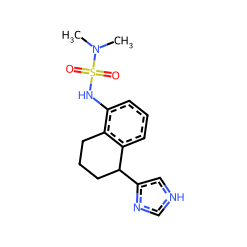 CN(C)S(=O)(=O)Nc1cccc2c1CCCC2c1c[nH]cn1